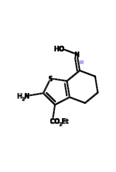 CCOC(=O)c1c(N)sc2c1CCC/C2=N/O